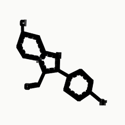 O=Cc1c(-c2ccc(Br)cc2)nc2cc(Cl)ccn12